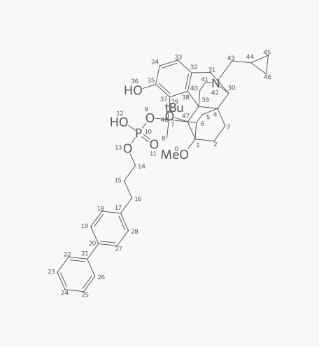 COC12CCC3(CC1C(C)(OP(=O)(O)OCCCc1ccc(-c4ccccc4)cc1)C(C)(C)C)C1Cc4ccc(O)c5c4C3(CCN1CC1CC1)C2O5